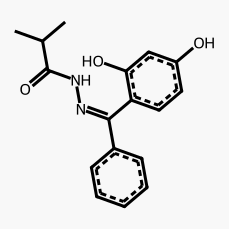 CC(C)C(=O)NN=C(c1ccccc1)c1ccc(O)cc1O